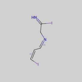 N=C(I)C/N=C\C=C/I